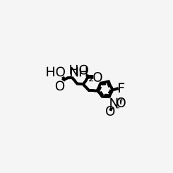 NC(CC(Cc1ccc(F)c([N+](=O)[O-])c1)C(=O)O)C(=O)O